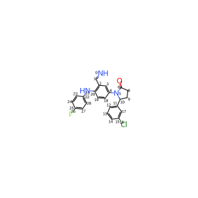 N=Cc1cc(N2C(=O)CCC2c2cccc(Cl)c2)ccc1Nc1ccc(F)cc1